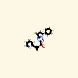 O=C(c1nc2n(n1)[C@H](c1ccccc1)C[C@@H]2F)[C@H]1CC1c1ccccn1